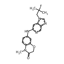 CN1C(=O)COc2cc(Nc3cc4c(cn3)ncn4CC(C)(C)F)ccc21